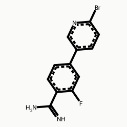 N=C(N)c1ccc(-c2ccc(Br)nc2)cc1F